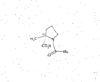 CC(C)(C)C(=O)N1CCC[C@@]1(C)C(=O)O